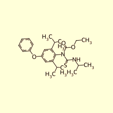 CCOC(=O)N(C(=S)NC(C)C)c1c(C(C)C)cc(Oc2ccccc2)cc1C(C)C